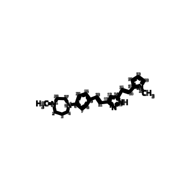 CN1CCCN(c2ccc(C=Cc3cc(C=Cc4cccn4C)[nH]n3)cc2)CC1